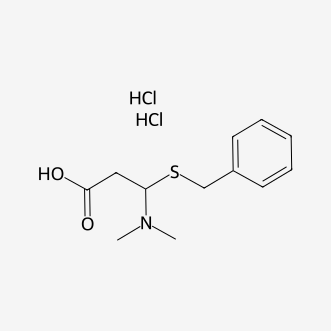 CN(C)C(CC(=O)O)SCc1ccccc1.Cl.Cl